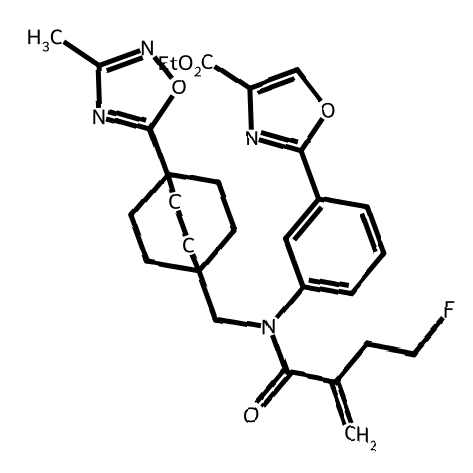 C=C(CCF)C(=O)N(CC12CCC(c3nc(C)no3)(CC1)CC2)c1cccc(-c2nc(C(=O)OCC)co2)c1